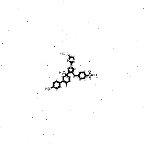 Cc1ccc(C2=C(F)C=CC(C)(c3nn(-c4nc(C(=O)O)cs4)cc3Cc3ccc(S(N)(=O)=O)cc3)C2)cc1